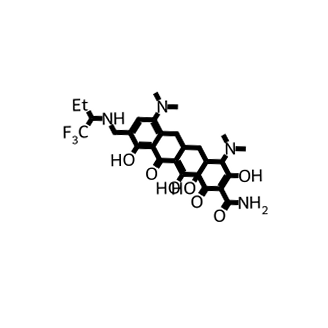 CCC(NCc1cc(N(C)C)c2c(c1O)C(=O)C1=C(O)C3(O)C(=O)C(C(N)=O)=C(O)C(N(C)C)C3CC1C2)C(F)(F)F